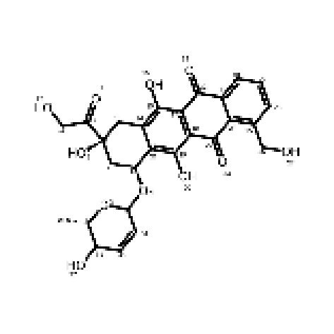 C[C@@H]1OC(O[C@H]2C[C@](O)(C(=O)CO)Cc3c(O)c4c(c(O)c32)C(=O)c2c(CO)cccc2C4=O)C=CC1O